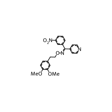 COc1ccc(CCON=C(c2ccncc2)c2cccc([N+](=O)[O-])c2)cc1OC